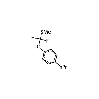 CCCc1ccc(OC(F)(F)SC)cc1